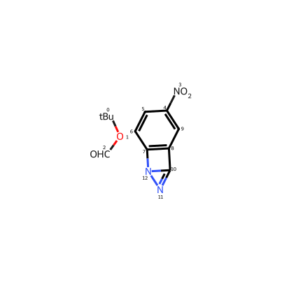 CC(C)(C)OC=O.O=[N+]([O-])c1ccc2c(c1)c1nn2-1